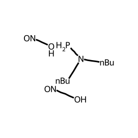 CCCCN(P)CCCC.O=NO.O=NO